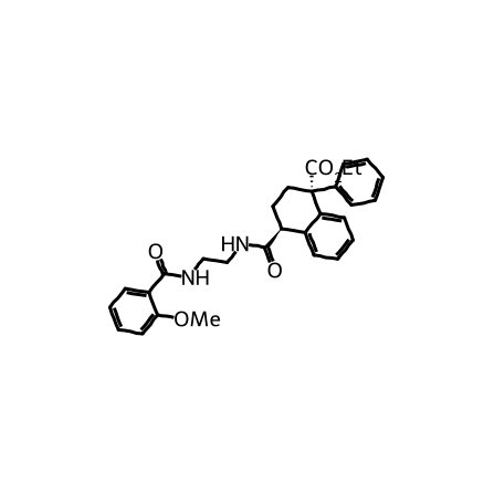 CCOC(=O)[C@@]1(c2ccccc2)CC[C@H](C(=O)NCCNC(=O)c2ccccc2OC)c2ccccc21